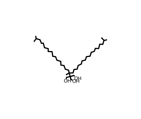 CC(C)CCCCCCCCCCCCCCCC(C)(CCCCCCCCCCCCCCCC(C)C)C(CO)(CO)CO